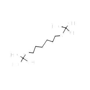 CC(C)(C)SCCCCCCSC(C)(C)C